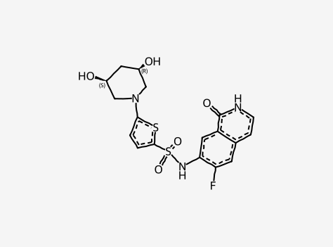 O=c1[nH]ccc2cc(F)c(NS(=O)(=O)c3ccc(N4C[C@H](O)C[C@H](O)C4)s3)cc12